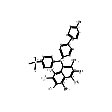 Bc1c(B)c(B)c2c(N(c3ccc(-c4ccc(Br)cc4)cc3)c3ccc(S(C)(C)C)cc3)c(B)c(B)c(B)c2c1B